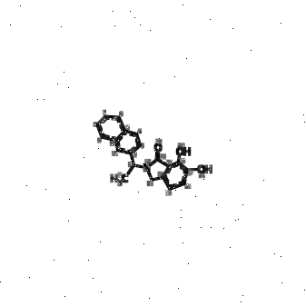 CC(c1ccc2ccccc2c1)N1Cc2ccc(O)c(O)c2C1=O